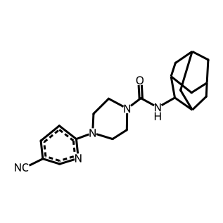 N#Cc1ccc(N2CCN(C(=O)NC3C4CC5CC(C4)CC3C5)CC2)nc1